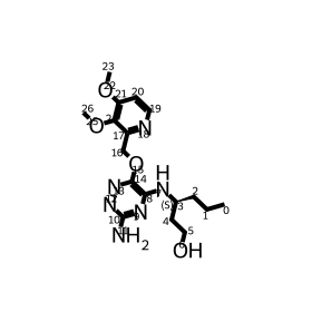 CCC[C@@H](CCO)Nc1nc(N)nnc1OCc1nccc(OC)c1OC